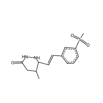 CC1CC(=O)NNC1/C=C/c1cccc(S(C)(=O)=O)c1